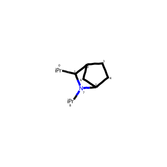 CC(C)C1C2CCC(C2)N1C(C)C